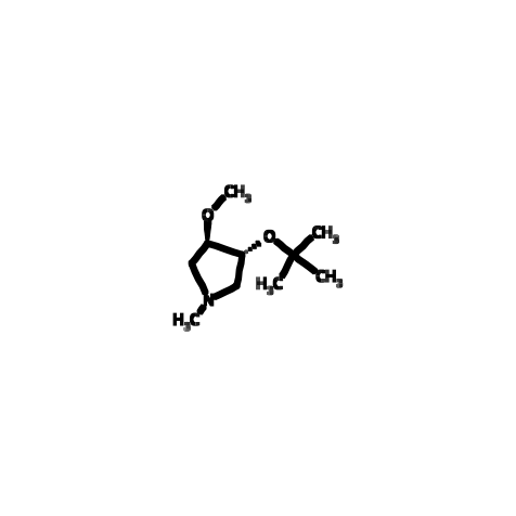 CO[C@@H]1CN(C)C[C@H]1OC(C)(C)C